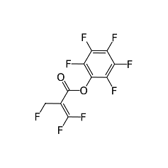 O=C(Oc1c(F)c(F)c(F)c(F)c1F)C(CF)=C(F)F